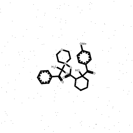 COc1ccc(C(=O)C2(O)CCCCC2C(=O)O[N+]2(C(C)(C)C(=O)c3ccccc3)CCOCC2)cc1